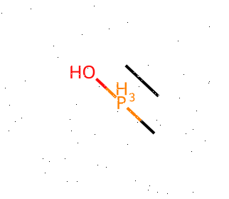 CC.C[PH3]O